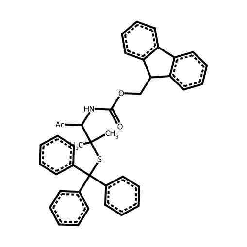 CC(=O)C(NC(=O)OCC1c2ccccc2-c2ccccc21)C(C)(C)SC(c1ccccc1)(c1ccccc1)c1ccccc1